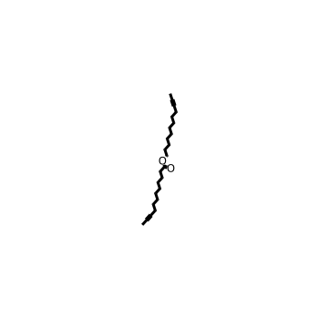 CC#CCCCCCCCCCOC(=O)CCCCCCCCC#CC